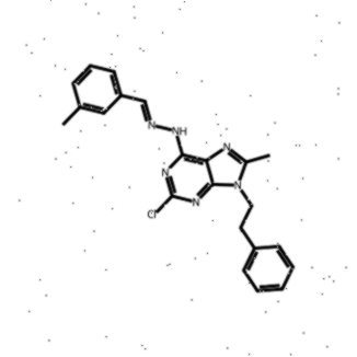 Cc1cccc(C=NNc2nc(Cl)nc3c2nc(C)n3CCc2ccccc2)c1